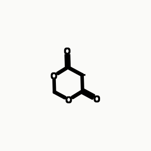 O=C1[CH]C(=O)OCO1